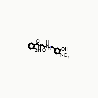 O=C(CNC(=O)c1ccccc1Br)N/N=C/c1ccc([N+](=O)[O-])c(O)c1